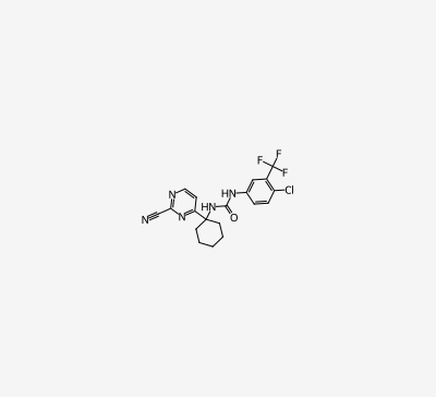 N#Cc1nccc(C2(NC(=O)Nc3ccc(Cl)c(C(F)(F)F)c3)CCCCC2)n1